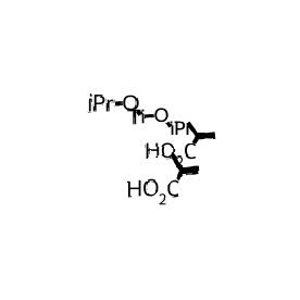 C=C(C)C(=O)O.C=C(C)C(=O)O.CC(C)[O][Ti][O]C(C)C